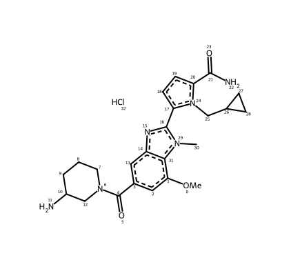 COc1cc(C(=O)N2CCCC(N)C2)cc2nc(-c3ccc(C(N)=O)n3CC3CC3)n(C)c12.Cl